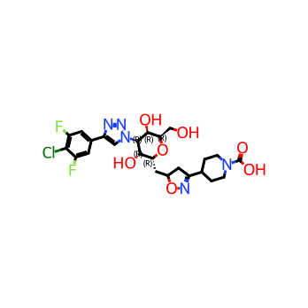 O=C(O)N1CCC(C2=NOC(C[C@H]3O[C@H](CO)[C@H](O)[C@H](n4cc(-c5cc(F)c(Cl)c(F)c5)nn4)[C@H]3O)C2)CC1